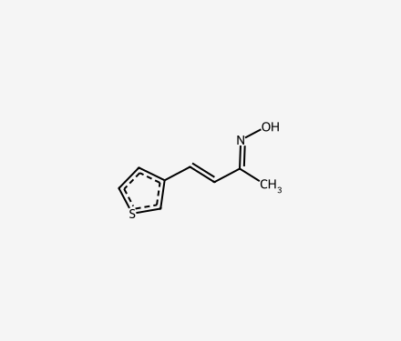 CC(C=Cc1ccsc1)=NO